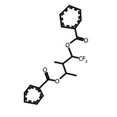 CC(OC(=O)c1ccccc1)C(C)C(OC(=O)c1ccccc1)C(F)(F)F